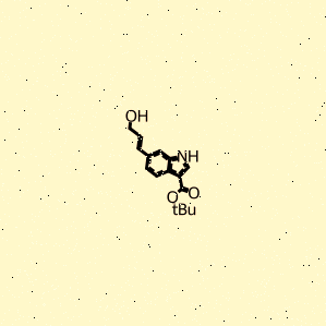 CC(C)(C)OC(=O)c1c[nH]c2cc(C=CCO)ccc12